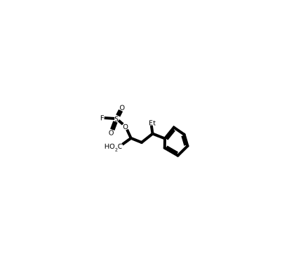 CCC(CC(OS(=O)(=O)F)C(=O)O)c1ccccc1